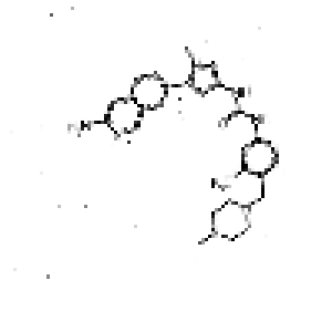 CN1CCN(Cc2ccc(NC(=O)Nc3cc(-c4ccc5cc(N)ncc5c4)n(C)n3)cc2C(F)(F)F)CC1